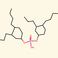 CCCCC1CCC(OP(=O)(O)OC2CCC(CCCC)C(CCC)C2)CC1CCC